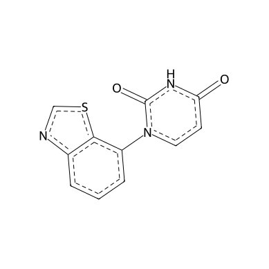 O=c1ccn(-c2cccc3ncsc23)c(=O)[nH]1